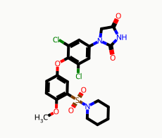 COc1ccc(Oc2c(Cl)cc(N3CC(=O)NC3=O)cc2Cl)cc1S(=O)(=O)N1CCCCC1